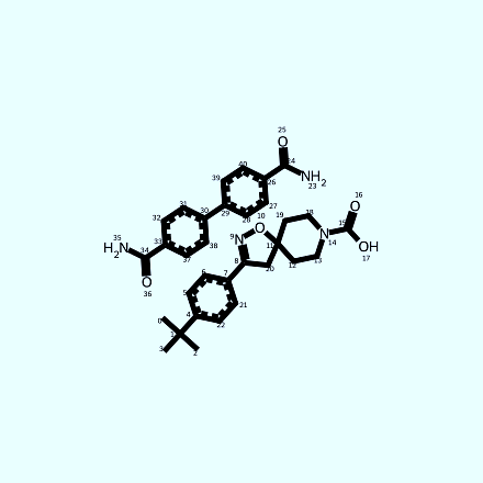 CC(C)(C)c1ccc(C2=NOC3(CCN(C(=O)O)CC3)C2)cc1.NC(=O)c1ccc(-c2ccc(C(N)=O)cc2)cc1